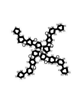 c1ccc(-c2ccc3oc4cc5c(cc4c3c2)oc2ccc([Si](c3ccc4oc6cc7c(cc6c4c3)oc3ccc(-c4ccccc4)cc37)(c3ccc4oc6cc7c(cc6c4c3)oc3ccc(-c4ccccc4)cc37)c3ccc4oc6cc7c(cc6c4c3)oc3ccc(-c4ccccc4)cc37)cc25)cc1